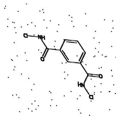 O=C(NCl)c1cccc(C(=O)NCl)c1